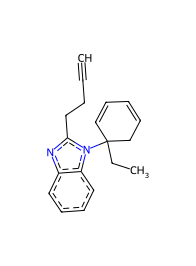 C#CCCc1nc2ccccc2n1C1(CC)C=CC=CC1